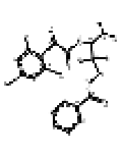 Cc1cc(C)c(C(=O)C(=O)OC(C(C)C)C(C)(C)COC(=O)c2ccccc2)c(C)c1